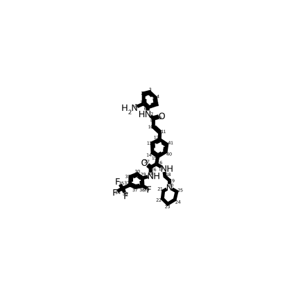 Nc1ccccc1NC(=O)C=Cc1ccc(C(NCCN2CCCCC2)C(=O)Nc2ccc(C(F)(F)F)cc2F)cc1